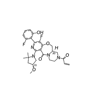 C=CC(=O)N1CCN2C(=O)c3c(N4C[C@@H](OC)CC4(C)C)nc(-c4c(O)cccc4F)c(F)c3OC[C@H]2C1